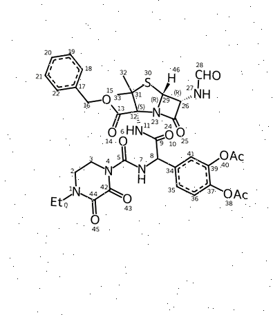 CCN1CCN(C(=O)NC(C(=O)N[C@@]2(C(=O)OCc3ccccc3)N3C(=O)[C@@H](NC=O)[C@H]3SC2(C)C)c2ccc(OC(C)=O)c(OC(C)=O)c2)C(=O)C1=O